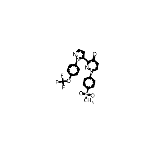 CS(=O)(=O)c1ccc(-n2ccc(=O)c(-c3ccnn3-c3ccc(OC(F)(F)F)cc3)n2)cc1